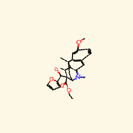 CCOC(=O)C1(C(=O)c2ccco2)C(C)C2C3Cc4ccc(OC)cc4C2(C)CC1N3C